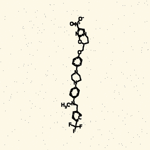 CN(Cc1ccc(C(F)(F)F)cc1)c1ccc(N2CCN(c3ccc(OCC4CCn5cc([N+](=O)[O-])nc5O4)cc3)CC2)cc1